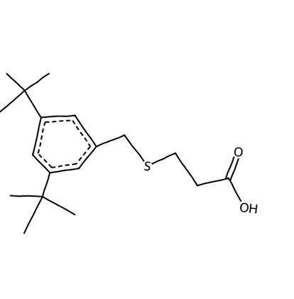 CC(C)(C)c1cc(CSCCC(=O)O)cc(C(C)(C)C)c1